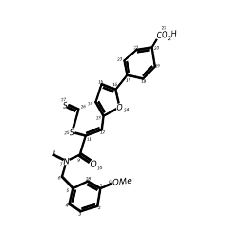 COc1cccc(CN(C)C(=O)/C(=C/c2ccc(-c3ccc(C(=O)O)cc3)o2)SC=S)c1